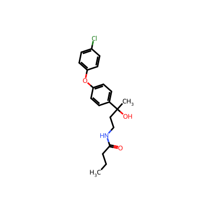 CCCC(=O)NCCC(C)(O)c1ccc(Oc2ccc(Cl)cc2)cc1